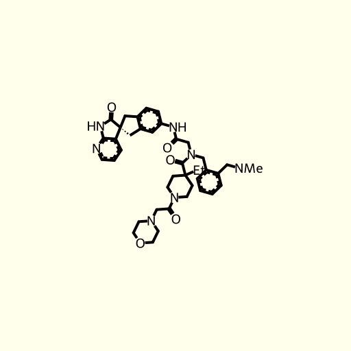 CCC1(C(=O)N(CC(=O)Nc2ccc3c(c2)C[C@@]2(C3)C(=O)Nc3ncccc32)Cc2ccccc2CNC)CCN(C(=O)CN2CCOCC2)CC1